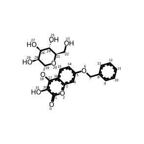 O=c1oc2cc(OCc3ccccc3)ccc2c(O[C@H]2O[C@H](CO)[C@@H](O)[C@H](O)[C@@H]2O)c1O